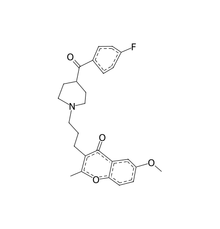 COc1ccc2oc(C)c(CCCN3CCC(C(=O)c4ccc(F)cc4)CC3)c(=O)c2c1